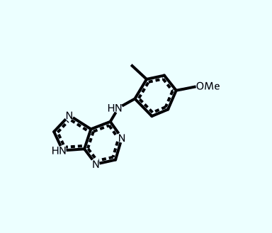 COc1ccc(Nc2ncnc3[nH]cnc23)c(C)c1